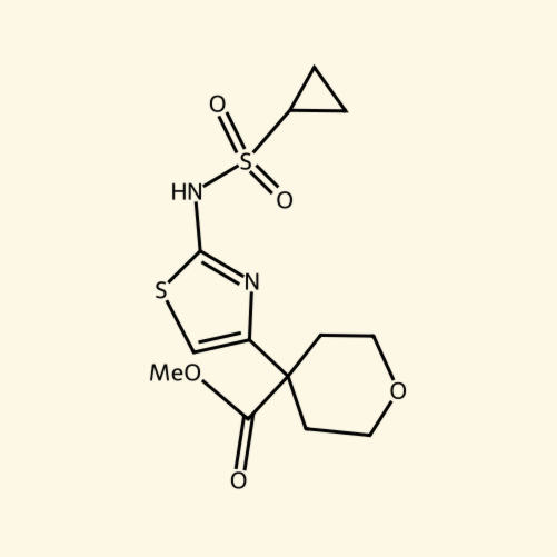 COC(=O)C1(c2csc(NS(=O)(=O)C3CC3)n2)CCOCC1